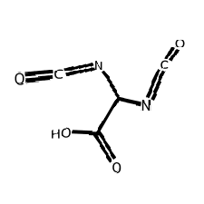 O=C=NC(N=C=O)C(=O)O